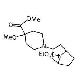 CCOC(=O)N1C2CCC1CC(N1CCC(OC)(C(=O)OC)CC1)C2